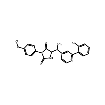 CC(c1ccnc(-c2ccccc2Cl)c1)C1NC(=O)N(c2ccc(OC(F)(F)F)cc2)C1=O